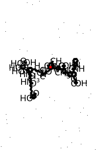 Cc1c(-c2ccc(N3CCc4c(OCC(=O)O)ccc(C(=O)Nc5nc6ccccc6s5)c4C3)nc2C(=O)O)cnn1CC12CC3(C)CC(C)(C1)CC(OCCN(C)C(=O)OC/C=C/c1ccc(O[C@@H]4O[C@H](C(=O)O)[C@@H](O)[C@H](O)[C@H]4O)c(NC(=O)CCNC(=O)CCCCCN4C(=O)C=CC4O)c1)(C3)C2